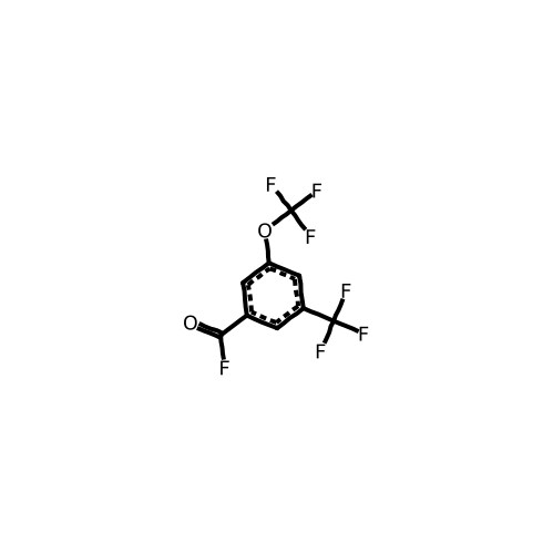 O=C(F)c1cc(OC(F)(F)F)cc(C(F)(F)F)c1